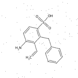 C=Cc1c(N)ccc(S(=O)(=O)O)c1Cc1ccccc1